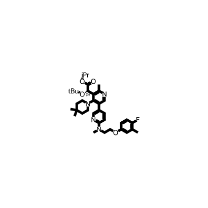 Cc1cc(OCCN(C)c2ccc(-c3cnc(C)c([C@H](OC(C)(C)C)C(=O)OC(C)C)c3N3CCC(C)(C)CC3)cn2)ccc1F